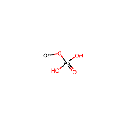 O=[As](O)(O)[O][Os]